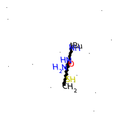 C=CCCC(S)CCCCC(N)CCC(=O)NCCCCCCNC(C)(C)C